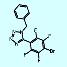 Fc1c(F)c(-c2nnnn2Cc2ccccc2)c(F)c(F)c1Br